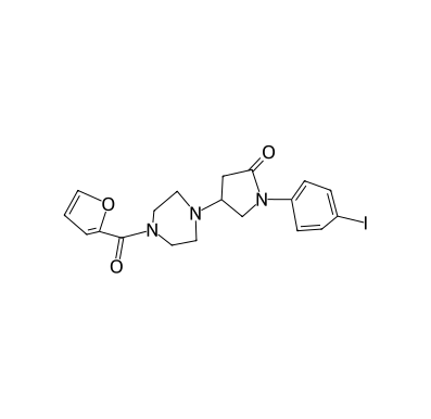 O=C(c1ccco1)N1CCN(C2CC(=O)N(c3ccc(I)cc3)C2)CC1